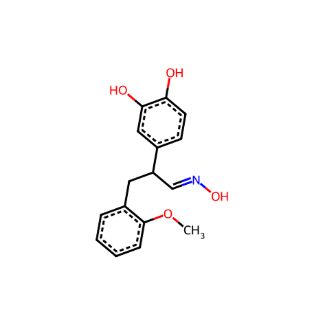 COc1ccccc1CC(C=NO)c1ccc(O)c(O)c1